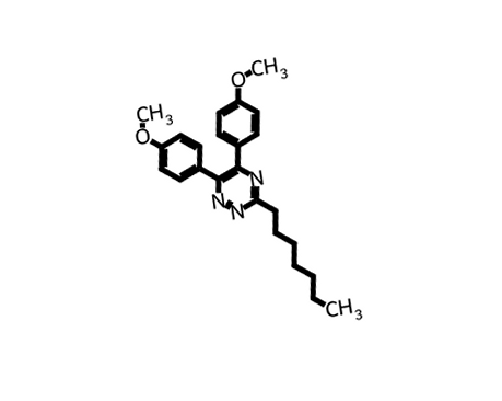 CCCCCCCc1nnc(-c2ccc(OC)cc2)c(-c2ccc(OC)cc2)n1